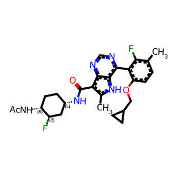 CC(=O)N[C@@H]1CC[C@H](NC(=O)c2c(C)[nH]c3c(-c4c(OCC5CC5)ccc(C)c4F)ncnc23)C[C@H]1F